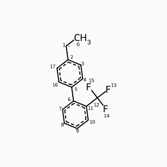 C[CH]c1ccc(-c2ccccc2C(F)(F)F)cc1